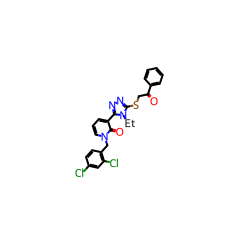 CCn1c(SCC(=O)c2ccccc2)nnc1-c1cccn(Cc2ccc(Cl)cc2Cl)c1=O